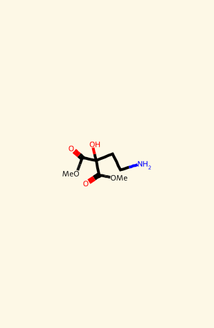 COC(=O)C(O)(CCN)C(=O)OC